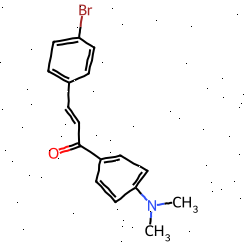 CN(C)c1ccc(C(=O)C=Cc2ccc(Br)cc2)cc1